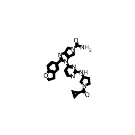 NC(=O)N1Cc2nc(-c3ccc4c(c3)CCO4)n(-c3ccnc(NC4CCN(C(=O)C5CC5)C4)n3)c2C1